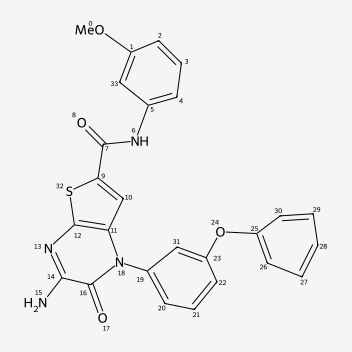 COc1cccc(NC(=O)c2cc3c(nc(N)c(=O)n3-c3cccc(Oc4ccccc4)c3)s2)c1